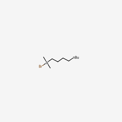 CCCCCCCC[Si](C)(C)Br